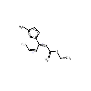 C=C(/C=C(\C=C/C)c1ccc(C)s1)OCC